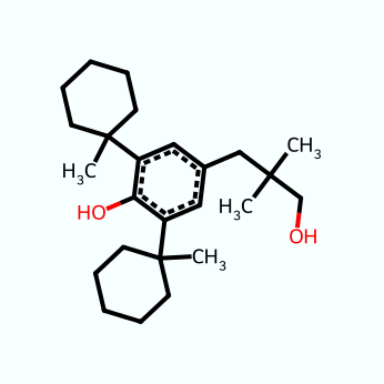 CC(C)(CO)Cc1cc(C2(C)CCCCC2)c(O)c(C2(C)CCCCC2)c1